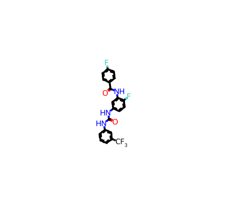 O=C(Nc1cccc(C(F)(F)F)c1)Nc1ccc(F)c(NC(=O)c2ccc(F)cc2)c1